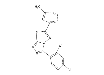 Cc1cccc(-c2nn3c(-c4ccc(Cl)cc4Cl)nnc3s2)c1